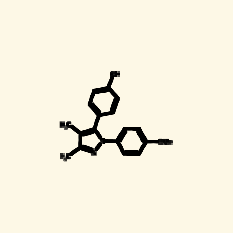 COc1ccc(-n2nc(C(F)(F)F)c(C)c2-c2ccc(O)cc2)cc1